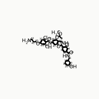 COC(=O)C[C@H](NC(=O)c1ccc(C(=O)NCc2cccc(O)c2)cc1Cl)c1ccc(NC(=O)c2c(Cl)cc(OCCCN)cc2Cl)cc1